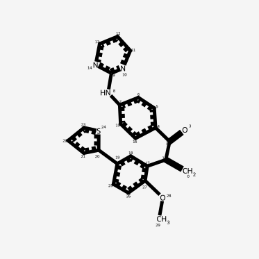 C=C(C(=O)c1ccc(Nc2ncccn2)cc1)c1cc(-c2cccs2)ccc1OC